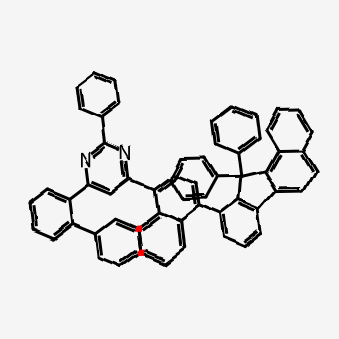 c1ccc(-c2nc(-c3ccccc3-c3ccccc3)cc(-c3ccc(-c4cccc5c4C(c4ccccc4)(c4ccccc4)c4c-5ccc5ccccc45)c4ccccc34)n2)cc1